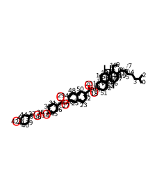 CC(C)CCC[C@@H](C)[C@H]1CC[C@H]2[C@@H]3CC=C4C[C@@H](OC(=O)c5ccc6cc(OC(=O)c7ccc(OCOCC8CCC9OC9C8)cc7)ccc6c5)CC[C@]4(C)[C@H]3CC[C@]12C